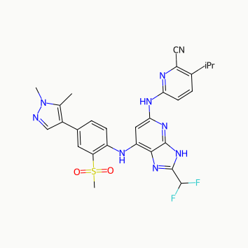 Cc1c(-c2ccc(Nc3cc(Nc4ccc(C(C)C)c(C#N)n4)nc4[nH]c(C(F)F)nc34)c(S(C)(=O)=O)c2)cnn1C